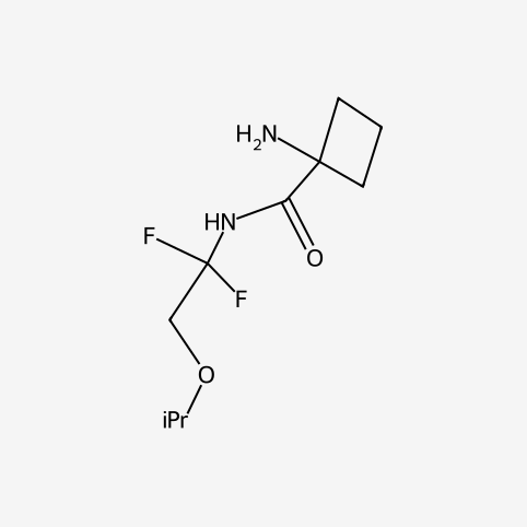 CC(C)OCC(F)(F)NC(=O)C1(N)CCC1